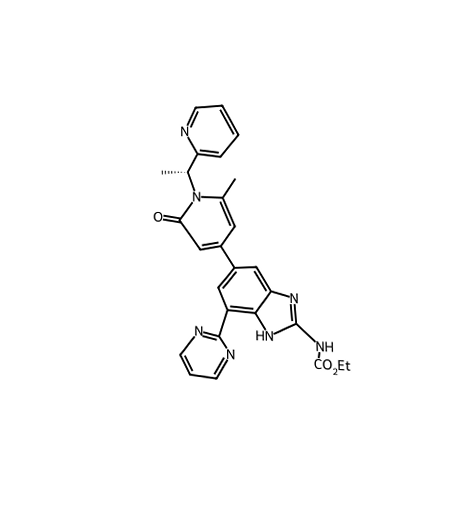 CCOC(=O)Nc1nc2cc(-c3cc(C)n([C@H](C)c4ccccn4)c(=O)c3)cc(-c3ncccn3)c2[nH]1